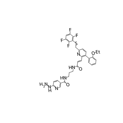 CCOc1ccccc1-c1ccc(CSc2c(F)c(F)cc(F)c2F)nc1/C=C/C(=O)NCCCNC(=O)c1ccc(NN)nc1